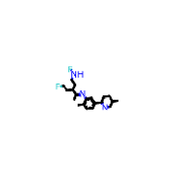 C/C(=N\c1cc(C2=NCC(C)CC2)ccc1C)C(CCF)CCNF